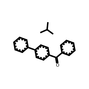 C[C](C)C.O=C(c1ccccc1)c1ccc(-c2ccccc2)cc1